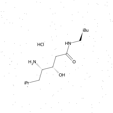 CC[C@H](C)CNC(=O)C[C@H](O)[C@@H](N)CC(C)C.Cl